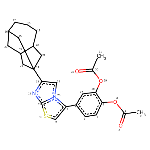 CC(=O)Oc1ccc(-c2csc3nc(C45CC6CCCC(C4)C(C6)C5)cn23)cc1OC(C)=O